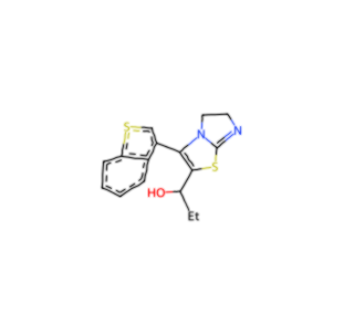 CCC(O)C1=C(c2csc3ccccc23)N2CCN=C2S1